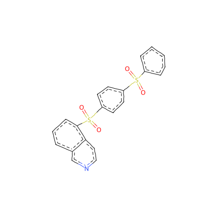 O=S(=O)(c1ccccc1)c1ccc(S(=O)(=O)c2cccc3cnccc23)cc1